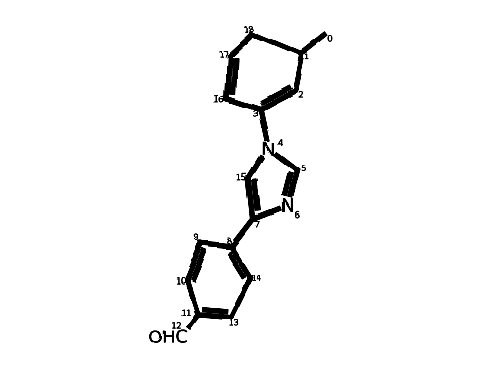 CC1C=C(n2cnc(-c3ccc(C=O)cc3)c2)C=CC1